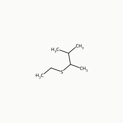 [CH2]CSC(C)C(C)C